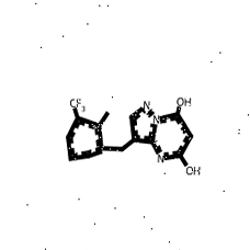 Cc1c(Cc2cnn3c(O)cc(O)nc23)cccc1C(F)(F)F